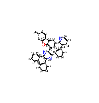 C=C/C=C\c1c(C)oc2c(-c3nc(-c4ccccc4)c(-c4ccccc4)nc3-c3cccc(-c4cccnc4)c3)cccc12